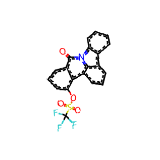 O=c1c2cccc(OS(=O)(=O)C(F)(F)F)c2c2cccc3c4ccccc4n1c32